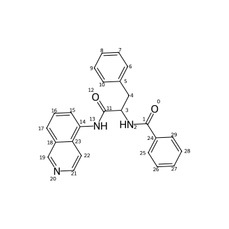 O=C(NC(Cc1ccccc1)C(=O)Nc1cccc2cnccc12)c1ccccc1